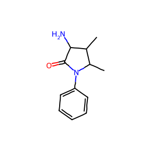 CC1C(N)C(=O)N(c2ccccc2)C1C